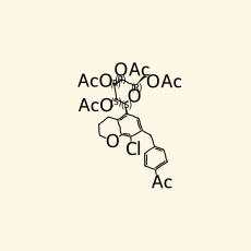 CC(=O)OC[C@H]1O[C@@H](c2cc(Cc3ccc(C(C)=O)cc3)c(Cl)c3c2CCCO3)[C@H](OC(C)=O)[C@@H](OC(C)=O)[C@@H]1OC(C)=O